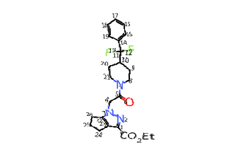 CCOC(=O)c1nn(CC(=O)N2CCC(C(F)(F)c3ccccc3)CC2)c2c1CCC2